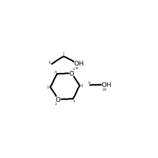 C1COCCO1.CCO.CO